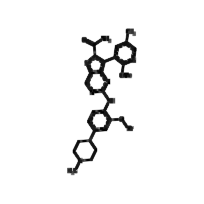 COc1ncc(C)cc1-c1c(C(N)=O)sc2cnc(Nc3ccc(C4CCN(C)CC4)cc3OC(C)C)nc12